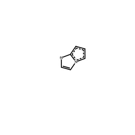 C1=Cn2cccc2[N]1